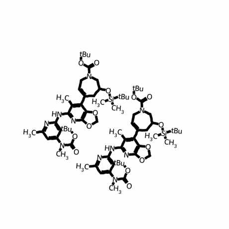 Cc1cc(N(C)C(=O)OC(C)(C)C)cc(Nc2nc3c(c(C4=CCN(C(=O)OC(C)(C)C)CC(O[Si](C)(C)C(C)(C)C)C4)c2C)OCO3)n1.Cc1cc(N(C)C(=O)OC(C)(C)C)cc(Nc2nc3c(c(C4=CCN(C(=O)OC(C)(C)C)CC(O[Si](C)(C)C(C)(C)C)C4)c2C)OCO3)n1